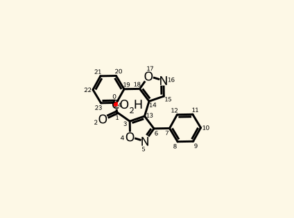 O=C(O)C(=O)c1onc(-c2ccccc2)c1-c1cnoc1-c1ccccc1